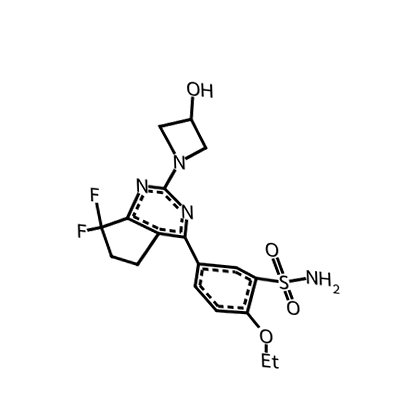 CCOc1ccc(-c2nc(N3CC(O)C3)nc3c2CCC3(F)F)cc1S(N)(=O)=O